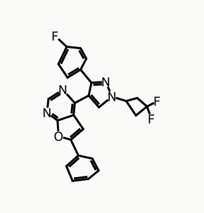 Fc1ccc(-c2nn(C3CC(F)(F)C3)cc2-c2ncnc3oc(-c4ccccc4)cc23)cc1